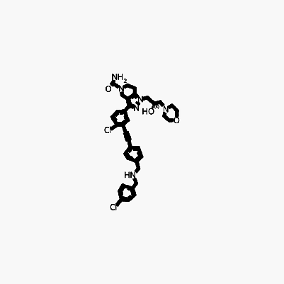 NC(=O)N1CCc2c(c(-c3ccc(Cl)c(C#Cc4ccc(CNCc5ccc(Cl)cc5)cc4)c3)nn2C[C@H](O)CN2CCOCC2)C1